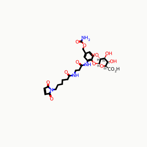 NC(=O)OCc1ccc(O[C@@H]2O[C@H](C(=O)O)[C@@H](O)[C@H](O)[C@H]2O)c(NC(=O)CCNC(=O)CCCCCN2C(=O)C=CC2=O)c1